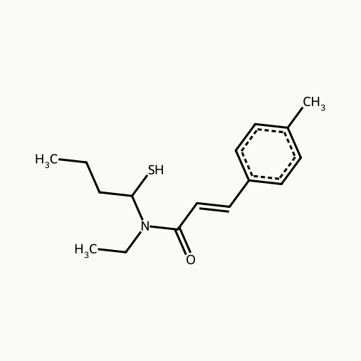 CCCC(S)N(CC)C(=O)/C=C/c1ccc(C)cc1